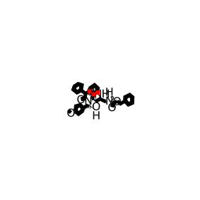 COc1ccc([C@@H](CO)N(C(=O)C(c2ccccc2)c2ccccc2)[C@H](CCCNC(=O)OCc2ccccc2)C(N)=O)cc1